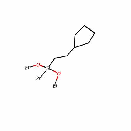 CCO[Si](CCC1CCCC1)(OCC)C(C)C